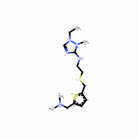 CCN1[C]=NC(NCCSCc2ccc(CN(C)C)s2)N1C